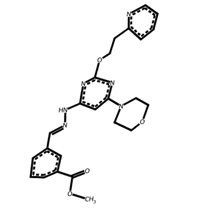 COC(=O)c1cccc(C=NNc2cc(N3CCOCC3)nc(OCCc3ccccn3)n2)c1